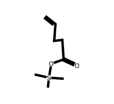 C=CCCC(=O)O[Si](C)(C)C